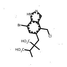 CC(C(=O)O)C(C)(Cc1cc(Br)c2[nH]ncc2c1CCl)C(=O)O